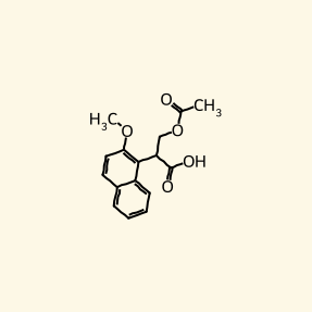 COc1ccc2ccccc2c1C(COC(C)=O)C(=O)O